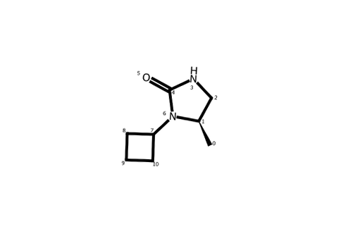 C[C@@H]1CNC(=O)N1C1CCC1